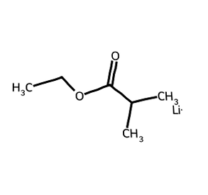 CCOC(=O)C(C)C.[Li]